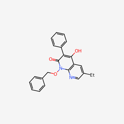 CCc1cnc2c(c1)c(O)c(-c1ccccc1)c(=O)n2OCc1ccccc1